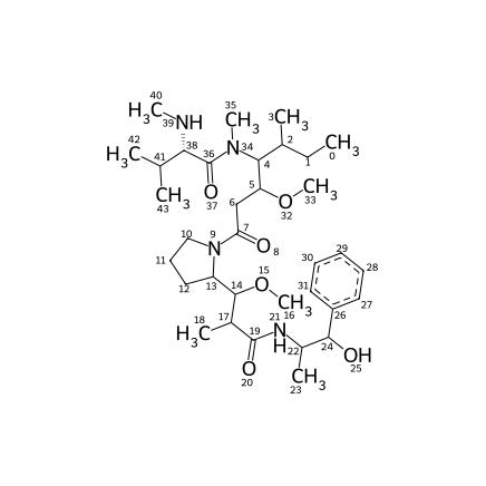 CCC(C)C(C(CC(=O)N1CCCC1C(OC)C(C)C(=O)NC(C)C(O)c1ccccc1)OC)N(C)C(=O)[C@@H](NC)C(C)C